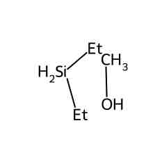 CC[SiH2]CC.CO